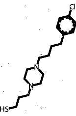 SCCCN1CCN(CCCCc2ccc(Cl)cc2)CC1